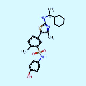 Cc1ccc(-c2sc(N[C@@H](C)C3CCCCC3)nc2C)cc1S(=O)(=O)Nc1ccc(O)cc1